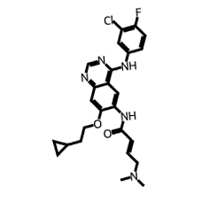 CN(C)C/C=C/C(=O)Nc1cc2c(Nc3ccc(F)c(Cl)c3)ncnc2cc1OCCC1CC1